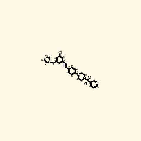 O=S(=O)(c1cccnc1)N1CCN(c2ccc(/C=C/c3cc(Cl)cc(Cn4ccnc4)c3)cc2)CC1